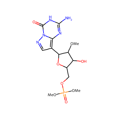 COC1C(c2cnn3c(=O)[nH]c(N)nc23)OC(COP(=O)(OC)OC)C1O